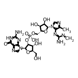 C=N/C(N)=N\c1c(C)ncn1[C@@H]1O[C@H](COP(=O)(O)O[C@@H]2[C@H](O)[C@@H](CO)O[C@H]2n2cnc3c(=O)[nH]c(N)nc32)[C@@H](O)[C@H]1O